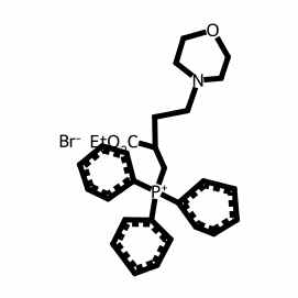 CCOC(=O)C(CCN1CCOCC1)C[P+](c1ccccc1)(c1ccccc1)c1ccccc1.[Br-]